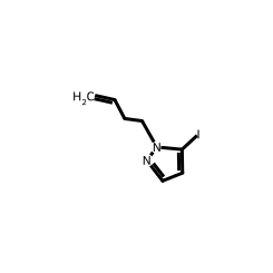 C=CCCn1nccc1I